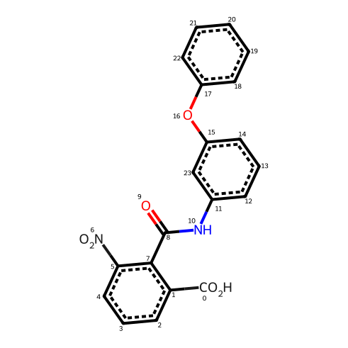 O=C(O)c1cccc([N+](=O)[O-])c1C(=O)Nc1cccc(Oc2ccccc2)c1